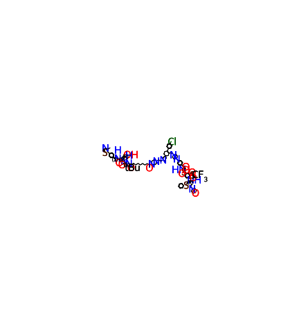 Cc1ncsc1-c1ccc([C@H](C)NC(=O)[C@@H]2C[C@@H](O)CN2C(=O)[C@@H](NC(=O)CCCCCCCC(=O)N2CCN(CCN(C)CC3(C)CCC(c4ccc(Cl)cc4)=C(CN4CCN(c5ccc(C(=O)NS(=O)(=O)c6ccc(N[C@H](CCN7CCOCC7)CSc7ccccc7)c(S(=O)(=O)C(F)(F)F)c6)cc5)CC4)C3)CC2)C(C)(C)C)cc1